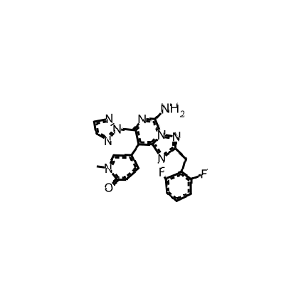 Cn1cc(-c2c(-n3nccn3)nc(N)n3nc(Cc4c(F)cccc4F)nc23)ccc1=O